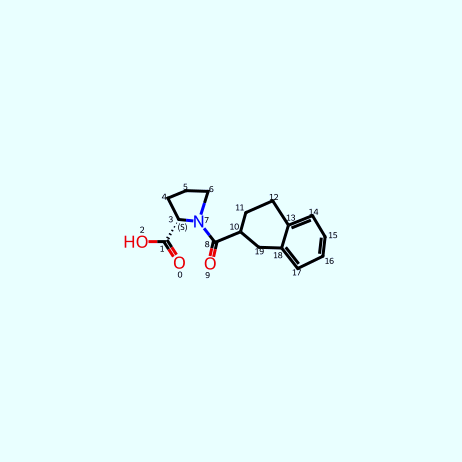 O=C(O)[C@@H]1CCCN1C(=O)C1CCc2ccccc2C1